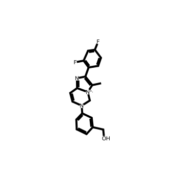 CC1=C(c2ccc(F)cc2F)N=C2C=CN(c3cccc(CO)c3)C[N+]21